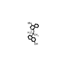 CC(C)(C)c1cnc(CC(C)(C)c2cccc3cc(O)ccc23)c2ccccc12